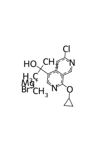 CC(C)(O)c1cnc(OC2CC2)c2cnc(Cl)cc12.[Br-].[CH3][Mg+]